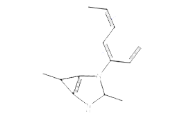 C=C/C(=C\C=C/C)N1C2=C(NC1C)C2C